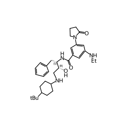 CCNc1cc(C(=O)N[C@@H](Cc2ccccc2)[C@H](O)CNC2CCC(C(C)(C)C)CC2)cc(N2CCCC2=O)c1